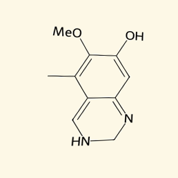 COc1c(O)cc2c(c1C)=CNCN=2